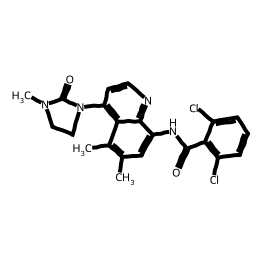 Cc1cc(NC(=O)c2c(Cl)cccc2Cl)c2nccc(N3CCN(C)C3=O)c2c1C